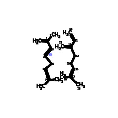 C=C(C)/C=C/CC=C(C)C.C=CC(=C)CCC=C(C)C